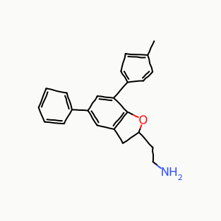 Cc1ccc(-c2cc(-c3ccccc3)cc3c2OC(CCN)C3)cc1